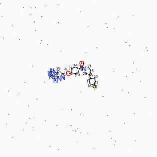 [N-]=[N+]=N[C@@H](COc1ccc(C(=O)N2CC[C@H](c3ccc(F)cc3)C2)cc1)Cn1cnnn1